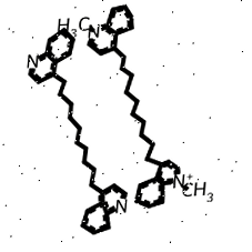 C[n+]1ccc(CCCCCCCCCCc2cc[n+](C)c3ccccc23)c2ccccc21.c1ccc2c(CCCCCCCCCCc3ccnc4ccccc34)ccnc2c1